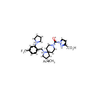 CC(C)=O.O=C(O)c1ccn(C(=O)N2CCC3(CCCN3Cc3ccc(C(F)(F)F)cc3N3CCCC3)CC2)n1